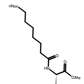 CCCCCCCCCCCCCCCC(=O)N[C@@H](C)C(=O)OC